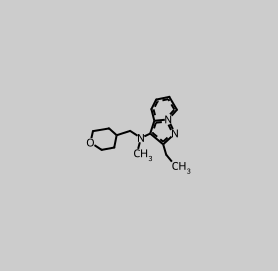 CCc1nn2ccccc2c1N(C)CC1CCOCC1